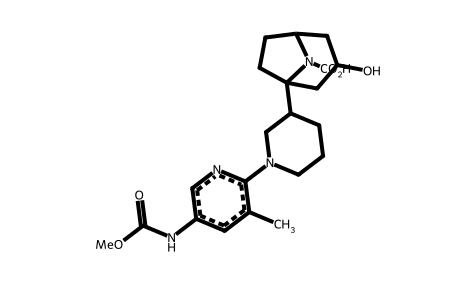 COC(=O)Nc1cnc(N2CCCC(C34CCC(CC(O)C3)N4C(=O)O)C2)c(C)c1